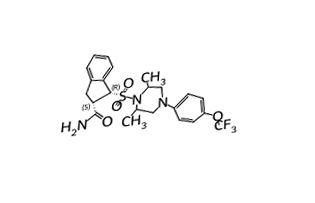 CC1CN(c2ccc(OC(F)(F)F)cc2)CC(C)N1S(=O)(=O)[C@H]1c2ccccc2C[C@H]1C(N)=O